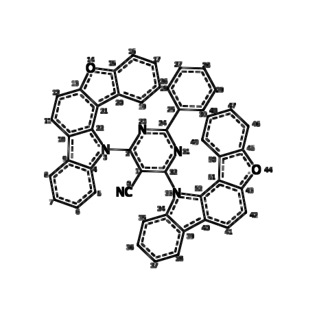 N#Cc1c(-n2c3ccccc3c3ccc4oc5ccccc5c4c32)nc(-c2ccccc2)nc1-n1c2ccccc2c2ccc3oc4ccccc4c3c21